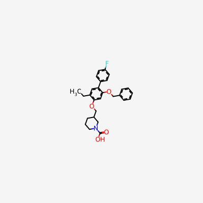 CCc1cc(-c2ccc(F)cc2)c(OCc2ccccc2)cc1OCC1CCCN(C(=O)O)C1